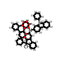 CC1(c2ccccc2)c2ccccc2-c2cc(N(c3ccc4c5ccccc5n(-c5ccccc5)c4c3)c3ccccc3-c3ccccc3-c3ccccc3-c3ccccc3)ccc21